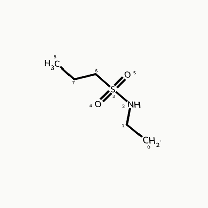 [CH2]CNS(=O)(=O)CCC